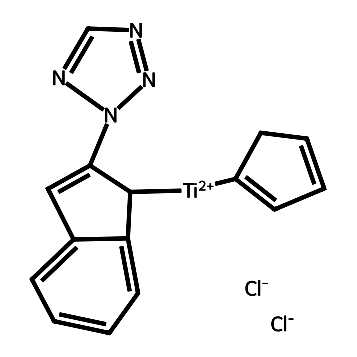 C1=CC[C]([Ti+2][CH]2C(n3ncnn3)=Cc3ccccc32)=C1.[Cl-].[Cl-]